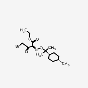 CCOC(=O)C(=NOC(C)(C)[C@H]1CC[C@H](C)CC1)C(=O)CBr